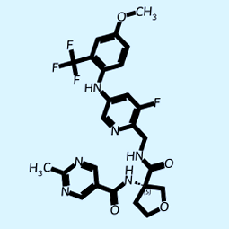 COc1ccc(Nc2cnc(CNC(=O)[C@]3(NC(=O)c4cnc(C)nc4)CCOC3)c(F)c2)c(C(F)(F)F)c1